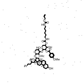 C=CCOC(=O)NCCCCCCNC(=O)OC1COC(OC2C(O)COC(O[C@H]3C[C@H]4[C@@H]5CC=C6C[C@@H](O)CC[C@]6(C)C5CC[C@]4(C)[C@@]3(O)[C@H](C)C(=O)CCC(C)C)C2OC(C)=O)C(OC(=O)c2ccc(OC)cc2)C1O